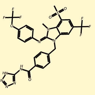 Cn1/c(=N\c2ccc(OC(F)(F)F)cc2)n(Cc2ccc(C(=O)Nc3nnn[nH]3)cc2)c2cc(C(F)(F)F)cc(S(C)(=O)=O)c21